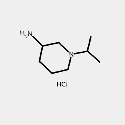 CC(C)N1CCCC(N)C1.Cl